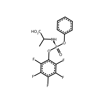 CC(N[P@](=O)(Oc1ccccc1)Oc1c(F)c(F)c(F)c(F)c1F)C(=O)O